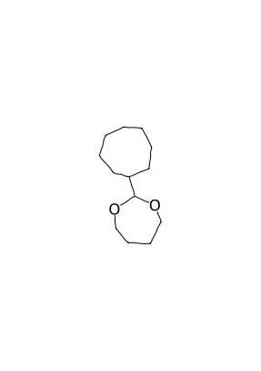 C1CCCC(C2OCCCCO2)CCC1